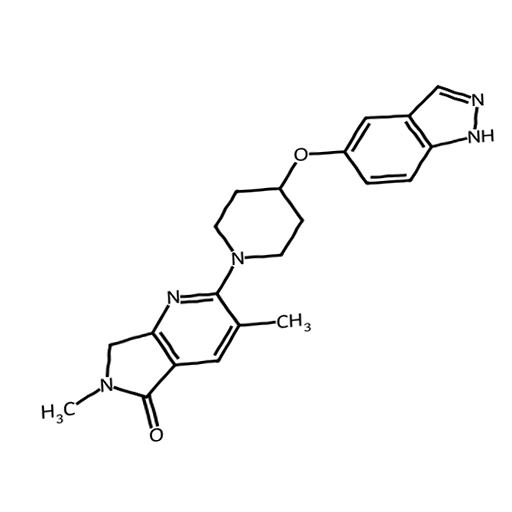 Cc1cc2c(nc1N1CCC(Oc3ccc4[nH]ncc4c3)CC1)CN(C)C2=O